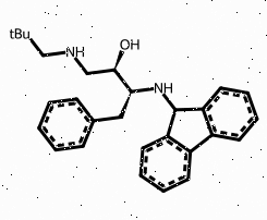 CC(C)(C)CNC[C@@H](O)[C@H](Cc1ccccc1)NC1c2ccccc2-c2ccccc21